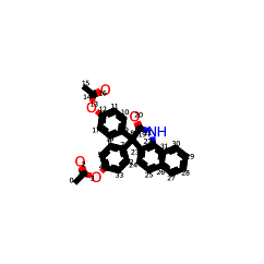 CC(=O)Oc1ccc(C2(c3ccc(OC(C)=O)cc3)C(=O)Nc3c2ccc2ccccc32)cc1